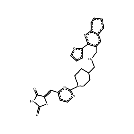 O=C1NC(=O)/C(=C/c2ccnc(N3CCC(CNCc4cc5ccccc5nc4-c4ccco4)CC3)n2)S1